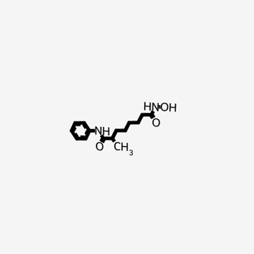 CC(CCCCCC(=O)NO)C(=O)Nc1ccccc1